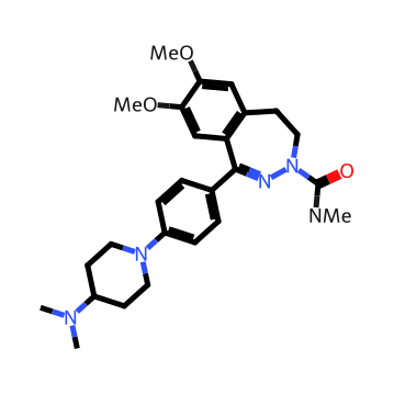 CNC(=O)N1CCc2cc(OC)c(OC)cc2C(c2ccc(N3CCC(N(C)C)CC3)cc2)=N1